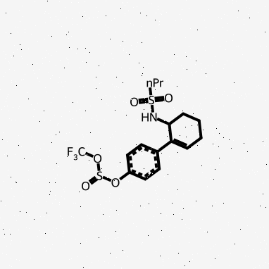 CCCS(=O)(=O)NC1CCCC=C1c1ccc(OS(=O)OC(F)(F)F)cc1